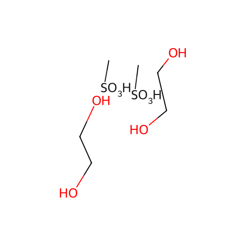 CS(=O)(=O)O.CS(=O)(=O)O.OCCO.OCCO